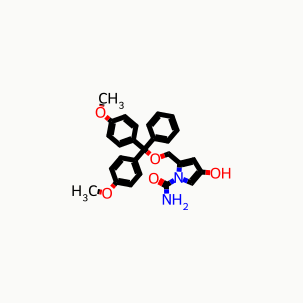 COc1ccc(C(OCc2cc(O)cn2C(N)=O)(c2ccccc2)c2ccc(OC)cc2)cc1